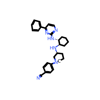 N#Cc1ccc(N2CCC[C@H](N[C@@H]3CCCC[C@H]3Nc3nccc(-c4ccccc4)n3)C2)cc1